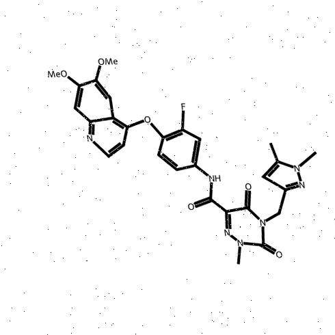 COc1cc2nccc(Oc3ccc(NC(=O)c4nn(C)c(=O)n(Cc5cc(C)n(C)n5)c4=O)cc3F)c2cc1OC